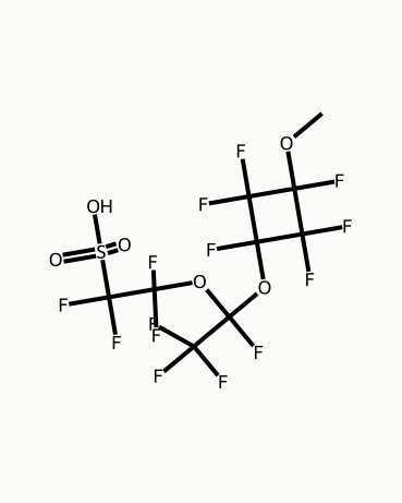 COC1(F)C(F)(F)C(F)(OC(F)(OC(F)(F)C(F)(F)S(=O)(=O)O)C(F)(F)F)C1(F)F